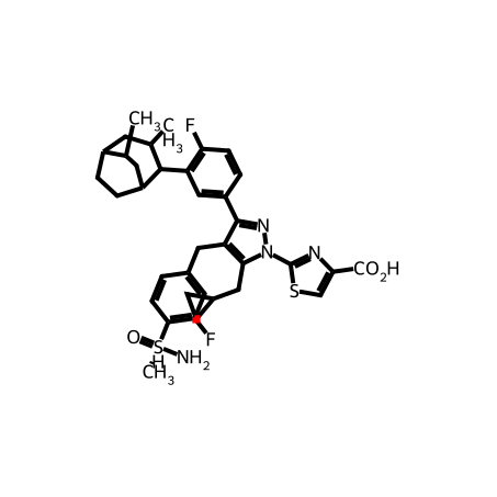 CC1CC2CCC1CC(C)C2c1cc(-c2nn(-c3nc(C(=O)O)cs3)c(CC3CC3)c2Cc2ccc([SH](C)(N)=O)c(F)c2)ccc1F